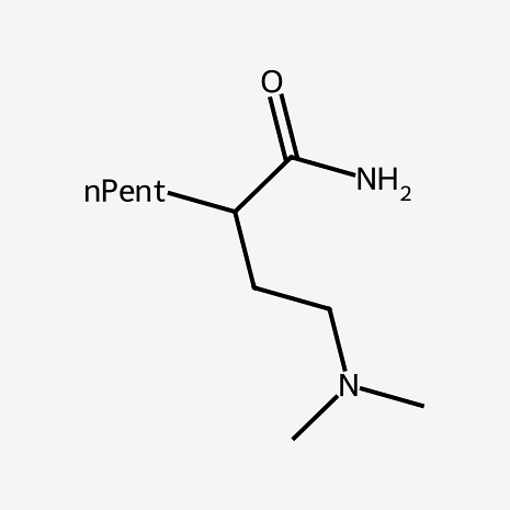 CCCCCC(CCN(C)C)C(N)=O